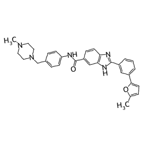 Cc1ccc(-c2cccc(-c3nc4ccc(C(=O)Nc5ccc(CN6CCN(C)CC6)cc5)cc4[nH]3)c2)o1